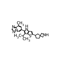 Cc1cc(-c2[nH]c3cc(C4CCC5(CNC5)C4)sc3c2C(C)C)cn2ncnc12